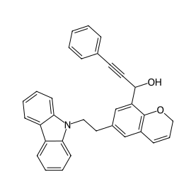 OC(C#Cc1ccccc1)c1cc(CCn2c3ccccc3c3ccccc32)cc2c1OCC=C2